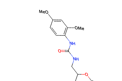 CCOC(C)CNC(=O)Nc1ccc(OC)cc1OC